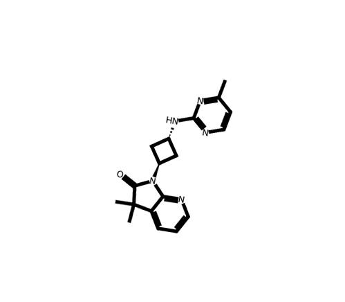 Cc1ccnc(N[C@H]2C[C@H](N3C(=O)C(C)(C)c4cccnc43)C2)n1